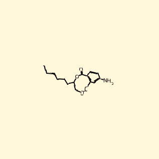 CCCCCCC1COCc2cc(N)ccc2C(=O)O1